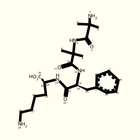 CC(C)(N)C(=O)NC(C)(C)C(=O)N[C@@H](Cc1ccccc1)C(=O)N[C@@H](CCCCN)C(=O)O